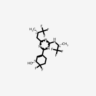 C[C@@H](Cc1nc(N[C@H](C)C(F)(F)F)nc(C2=C[C@@H](O)C(F)(F)CC2)n1)C(F)(F)F